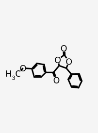 COc1ccc(C(=O)C2OC(=O)OC2c2ccccc2)cc1